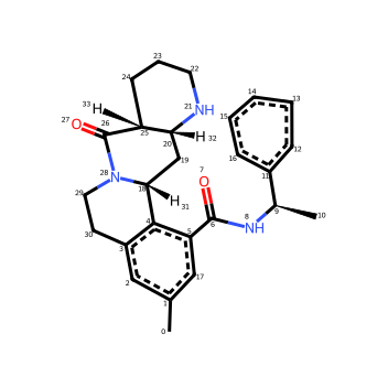 Cc1cc2c(c(C(=O)N[C@H](C)c3ccccc3)c1)[C@H]1C[C@H]3NCCC[C@H]3C(=O)N1CC2